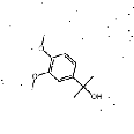 COc1ccc(C(C)(C)O)cc1OC